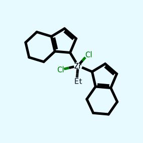 C[CH2][Zr]([Cl])([Cl])([CH]1C=CC2=C1CCCC2)[CH]1C=CC2=C1CCCC2